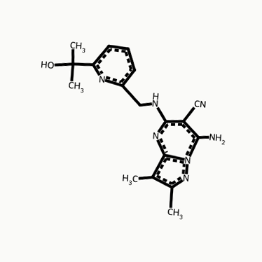 Cc1nn2c(N)c(C#N)c(NCc3cccc(C(C)(C)O)n3)nc2c1C